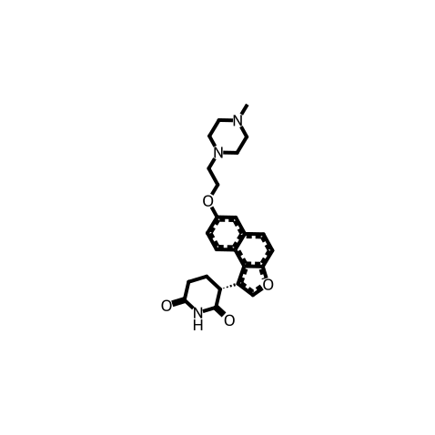 CN1CCN(CCOc2ccc3c(ccc4occ([C@H]5CCC(=O)NC5=O)c43)c2)CC1